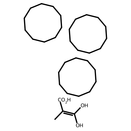 C1CCCCCCCCC1.C1CCCCCCCCC1.C1CCCCCCCCC1.CC(C(=O)O)=C(O)O